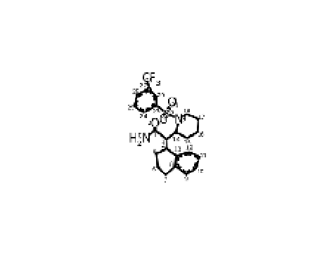 NC(=O)C(C1CCCc2ccccc21)C1CCCCN1S(=O)(=O)c1cccc(C(F)(F)F)c1